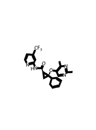 Cc1ncc(O[C@@]2(C3C=CC=CC3)C[C@H]2C(=O)Nc2cc(C(F)(F)F)ccn2)c(C)n1